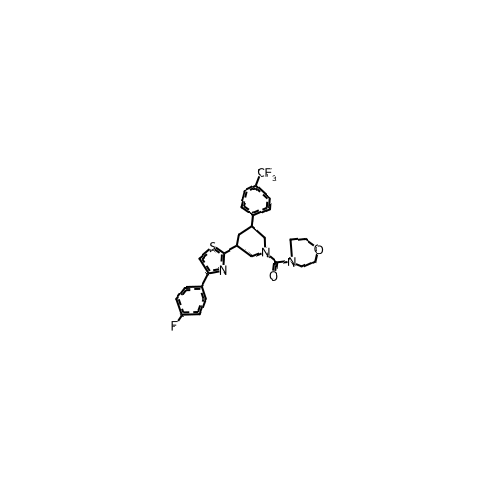 O=C(N1CCOCC1)N1CC(c2ccc(C(F)(F)F)cc2)CC(c2nc(-c3ccc(F)cc3)cs2)C1